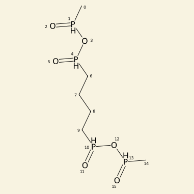 C[PH](=O)O[PH](=O)CCCC[PH](=O)O[PH](C)=O